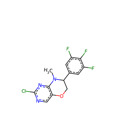 CN1c2nc(Cl)ncc2OCC1c1cc(F)c(F)c(F)c1